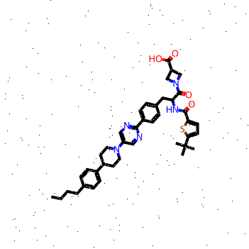 CCCCc1ccc(C2CCN(c3cnc(-c4ccc(CC(NC(=O)c5ccc(C(C)(C)C)s5)C(=O)N5CC(C(=O)O)C5)cc4)nc3)CC2)cc1